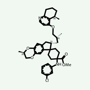 COC(=O)C1(Nc2cccc(Cl)c2)CCC2(CC1)c1cc3c(cc1C[C@@H]2C[C@@H](C)COc1ccnc2c1[C@H](C)CCC2)O[C@H](C)CO3